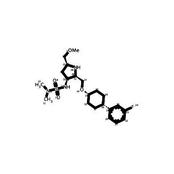 COC[C@@H]1C[C@H](NS(=O)(=O)N(C)C)[C@H](CO[C@H]2CC[C@@H](c3cccc(F)c3)CC2)N1